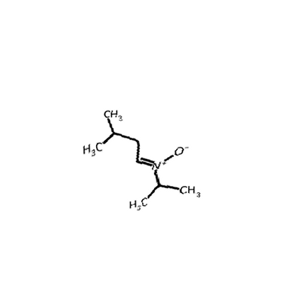 CC(C)CC=[N+]([O-])C(C)C